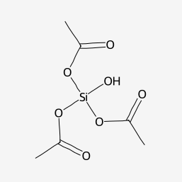 CC(=O)O[Si](O)(OC(C)=O)OC(C)=O